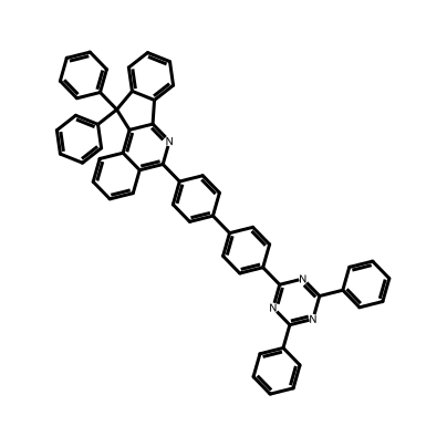 c1ccc(-c2nc(-c3ccccc3)nc(-c3ccc(-c4ccc(-c5nc6c(c7ccccc57)C(c5ccccc5)(c5ccccc5)c5ccccc5-6)cc4)cc3)n2)cc1